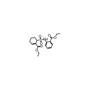 CCOC(=O)C1=CCCCC1S(=O)(=O)Nc1ccccc1C(=O)OCC